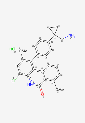 COc1cc(Cl)c2[nH]c(=O)c3c(OC)cccc3c2c1-c1ccc(C2(CN)CC2)cc1.Cl